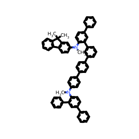 CN(c1ccc(-c2ccc(-c3cccc(-c4cc(-c5ccccc5)ccc4N(C)c4ccc5c(c4)C(C)(C)c4ccccc4-5)c3)cc2)cc1)c1ccc(-c2ccccc2)cc1-c1ccccc1